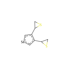 c1[se]cc(C2CS2)c1C1CS1